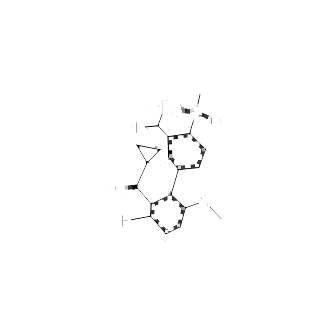 CSc1ccc(F)c(C(=O)C2CC2)c1-c1ccc(S(C)(=O)=O)c(C(F)F)c1